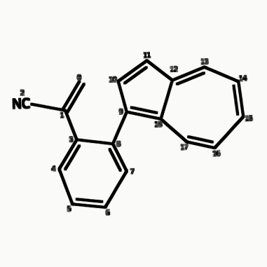 C=C(C#N)c1ccccc1-c1ccc2cccccc1-2